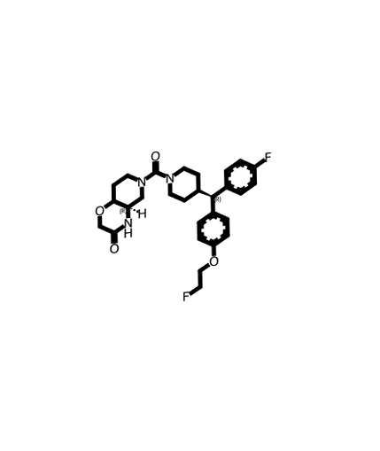 O=C1COC2CCN(C(=O)N3CCC([C@@H](c4ccc(F)cc4)c4ccc(OCCF)cc4)CC3)C[C@H]2N1